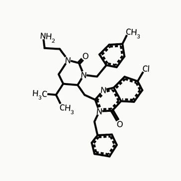 Cc1ccc(CN2C(=O)N(CCN)CC(C(C)C)C2Cc2nc3cc(Cl)ccc3c(=O)n2Cc2ccccc2)cc1